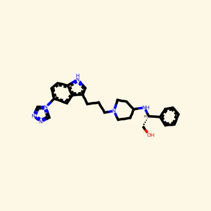 OC[C@H](NC1CCN(CCCc2c[nH]c3ccc(-n4cnnc4)cc23)CC1)c1ccccc1